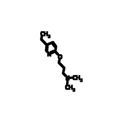 CCc1ccc(OCCCN(C)C)nc1